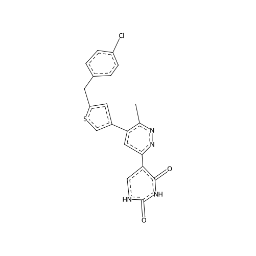 Cc1nnc(-c2c[nH]c(=O)[nH]c2=O)cc1-c1csc(Cc2ccc(Cl)cc2)c1